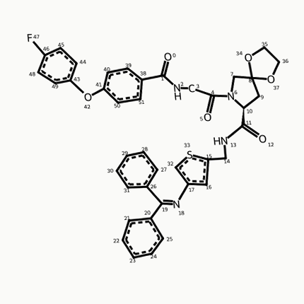 O=C(NCC(=O)N1CC2(C[C@H]1C(=O)NCc1cc(N=C(c3ccccc3)c3ccccc3)cs1)OCCO2)c1ccc(Oc2ccc(F)cc2)cc1